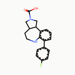 O=C(O)N1CC2CCNc3c(-c4ccc(F)cc4)cccc3C2C1